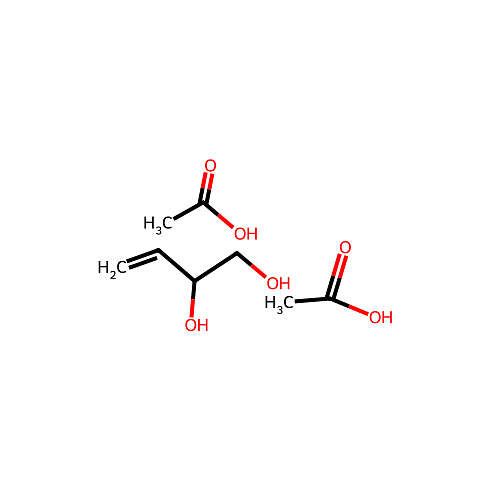 C=CC(O)CO.CC(=O)O.CC(=O)O